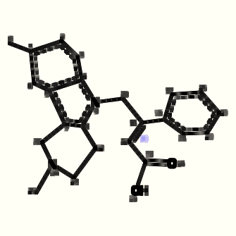 Cc1ccc2c(c1)c1c(n2C/C(=C/C(=O)O)c2ccccc2)CCN(C)C1